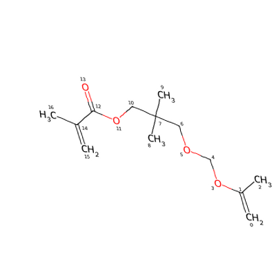 C=C(C)OCOCC(C)(C)COC(=O)C(=C)C